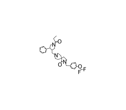 CCC(=O)N1CC(CN2CCC3(CC2)CCN(Cc2ccc(OC(F)F)cc2)C3=O)C(c2ccccc2)C1